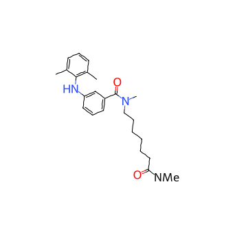 CNC(=O)CCCCCCN(C)C(=O)c1cccc(Nc2c(C)cccc2C)c1